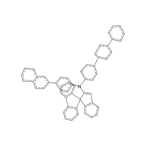 C1=C(N(c2ccc(-c3ccc(-c4ccccc4)cc3)cc2)c2ccc(-c3ccc4ccccc4c3)cc2)C2(c3ccccc31)c1ccccc1-c1ccccc12